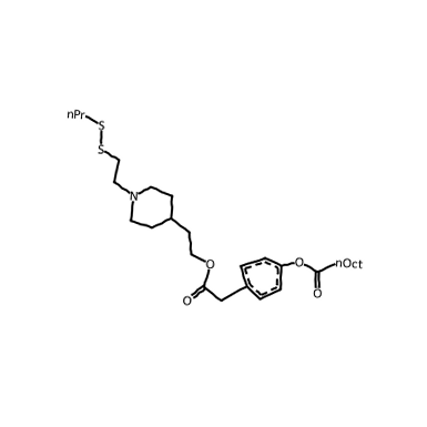 CCCCCCCCC(=O)Oc1ccc(CC(=O)OCCC2CCN(CCSSCCC)CC2)cc1